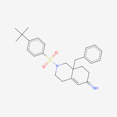 CC(C)(C)c1ccc(S(=O)(=O)N2CCC3=CC(=N)CCC3(Cc3ccccc3)C2)cc1